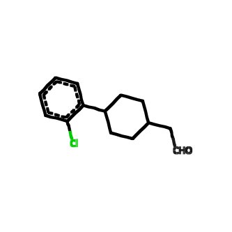 O=CCC1CCC(c2ccccc2Cl)CC1